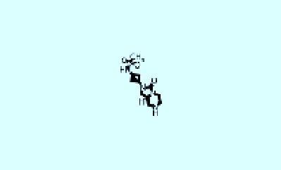 CS(=O)(=O)NC12CC(N3C[C@@H]4CNCCN4C3=O)(C1)C2